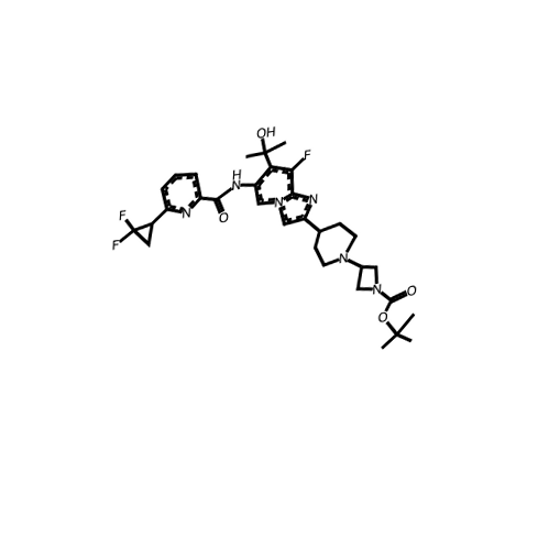 CC(C)(C)OC(=O)N1CC(N2CCC(c3cn4cc(NC(=O)c5cccc(C6CC6(F)F)n5)c(C(C)(C)O)c(F)c4n3)CC2)C1